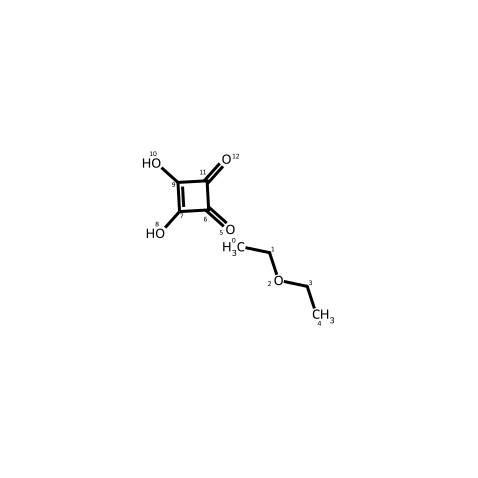 CCOCC.O=c1c(O)c(O)c1=O